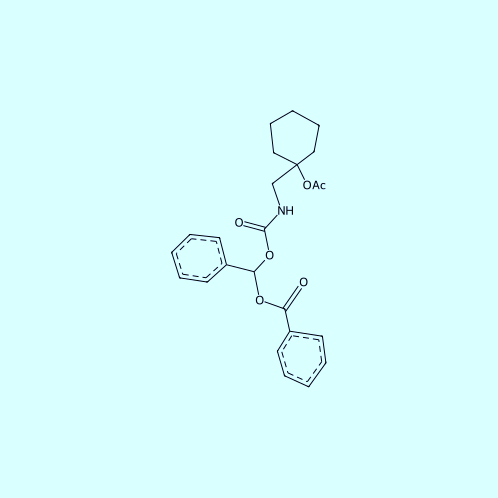 CC(=O)OC1(CNC(=O)OC(OC(=O)c2ccccc2)c2ccccc2)CCCCC1